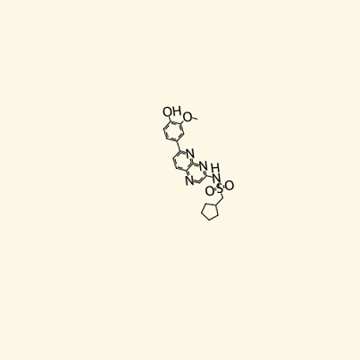 COc1cc(-c2ccc3ncc(NS(=O)(=O)CC4CCCC4)nc3n2)ccc1O